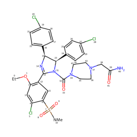 CCOc1cc(Cl)c(S(=O)(=O)NC)cc1C1=N[C@@H](c2ccc(Cl)cc2)[C@@H](c2ccc(Cl)cc2)N1C(=O)N1CCN(CC(N)=O)CC1